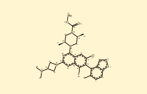 Cc1ccc2sncc2c1-c1c(Cl)cc2c(N3C[C@H](C)N(C(=O)OC(C)(C)C)C[C@@H]3C)nc(N3CC(N(C)C)C3)nc2c1F